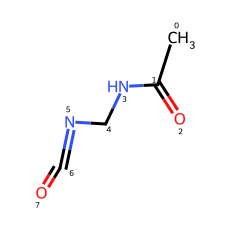 CC(=O)NCN=C=O